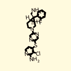 NC[C@]1(c2ccccc2F)[C@@H]2CCN(c3cnc(Sc4ccnc(N)c4Cl)cn3)C[C@@H]21